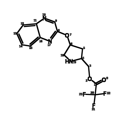 O=C(OCC1CC(Oc2cnc3ccccc3n2)CN1)C(F)(F)F